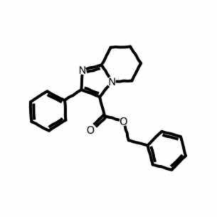 O=C(OCc1ccccc1)c1c(-c2ccccc2)nc2n1CCCC2